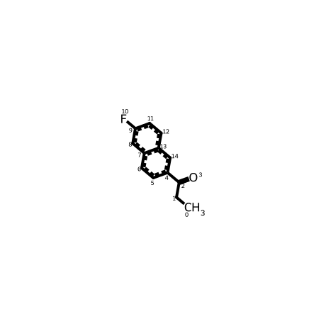 CCC(=O)c1ccc2cc(F)ccc2c1